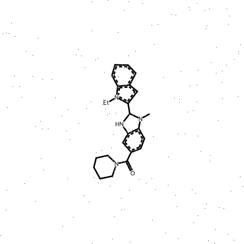 CCn1c(C2Nc3cc(C(=O)N4CCCCC4)ccc3N2C)cc2ccccc21